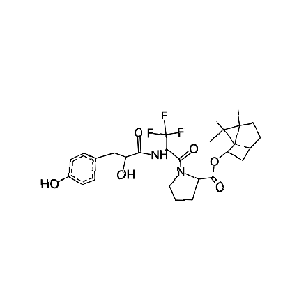 CC1(C)C2(C)CCC3CC(OC(=O)C4CCCN4C(=O)C(NC(=O)C(O)Cc4ccc(O)cc4)C(F)(F)F)C312